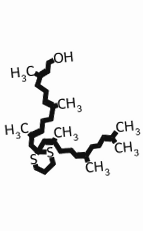 CC(C)=CCCC(C)=CCCC(C)=CC1(CC(C)=CCCC(C)=CCCC(C)=CCO)SCCCS1